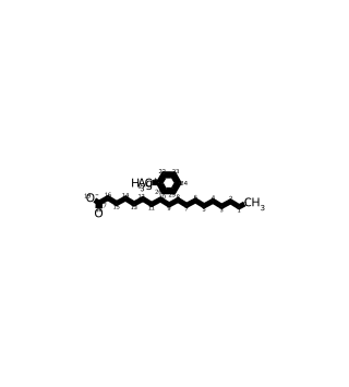 CCCCCCCCCCCCCCCCCC(=O)[O-].Cc1ccccc1.[Ag+]